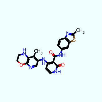 Cc1nc2ccc(NC(=O)c3c(Nc4cnc5c(c4C)NCCO5)cc[nH]c3=O)cc2s1